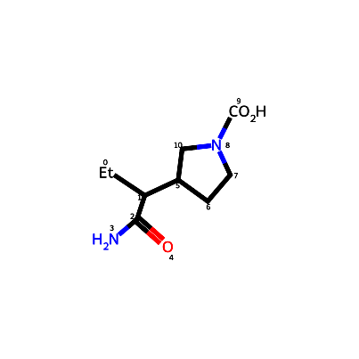 CCC(C(N)=O)C1CCN(C(=O)O)C1